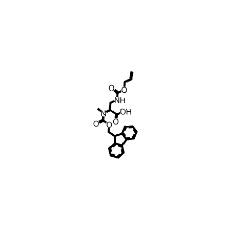 C=CCOC(=O)NCC(C(=O)O)N(C)C(=O)OCC1c2ccccc2-c2ccccc21